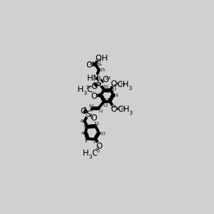 COc1ccc(CS(=O)(=O)C=Cc2c(OC)cc(OC)c(S(=O)(=O)NCC(=O)O)c2OC)cc1